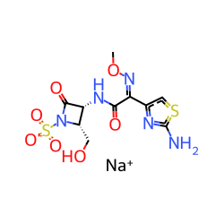 CO/N=C(\C(=O)N[C@H]1C(=O)N(S(=O)(=O)[O-])[C@H]1CO)c1csc(N)n1.[Na+]